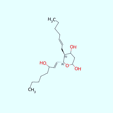 CCCCC=CC[C@H]1C(O)CC(O)O[C@@H]1C=CC(O)CCCCC